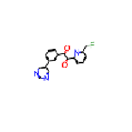 O=C(C(=O)c1cccc(CF)n1)c1cccc(-c2cncnc2)c1